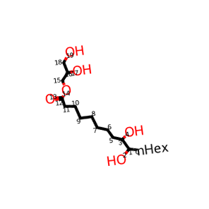 CCCCCCC(O)C(O)CCCCCCCC(=O)OCC(O)CO